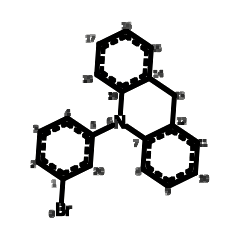 Brc1cccc(N2c3ccccc3Cc3ccccc32)c1